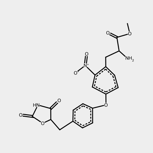 COC(=O)C(N)Cc1ccc(Oc2ccc(CC3OC(=O)NC3=O)cc2)cc1[N+](=O)[O-]